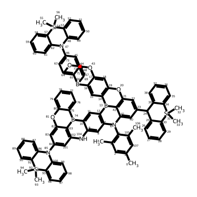 Cc1cc(C)c(N2c3cc4c(cc3B3c5cc6c(cc5Oc5cc(C7c8ccccc8[Si](C)(C)c8ccccc87)cc2c53)Oc2cc(N3c5ccccc5[Si](C)(C)c5ccccc53)cc3c2B6c2ccccc2O3)B2c3ccccc3Oc3cc(N5c6ccccc6[Si](C)(C)c6ccccc65)cc(c32)N4)c(C)c1